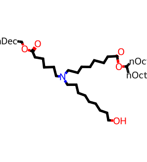 CCCCCCCCCCCOC(=O)CCCCCN(CCCCCCCCCO)CCCCCCCC(=O)OC(CCCCCCCC)CCCCCCCC